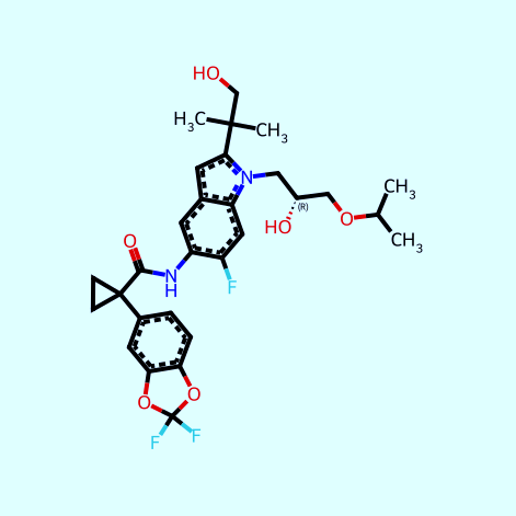 CC(C)OC[C@H](O)Cn1c(C(C)(C)CO)cc2cc(NC(=O)C3(c4ccc5c(c4)OC(F)(F)O5)CC3)c(F)cc21